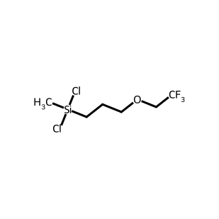 C[Si](Cl)(Cl)CCCOCC(F)(F)F